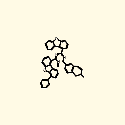 C=N/C(=N\C(=N/Cc1ccc2c(c1)C=CC(C)C2)c1cccc2oc3ccccc3c12)c1cccc2oc3c(-c4ccccc4)cccc3c12